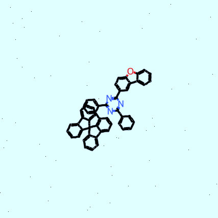 c1ccc(-c2nc(-c3ccc4oc5ccccc5c4c3)nc(-c3ccccc3-c3cccc4c3C3(c5ccccc5-c5ccccc53)c3ccccc3-4)n2)cc1